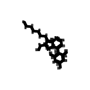 CCCCCCCc1c(CC)nn2c(-c3c(C)cc(C)cc3C)ccnc12